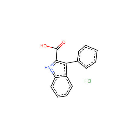 Cl.O=C(O)c1[nH]c2ccccc2c1-c1ccccc1